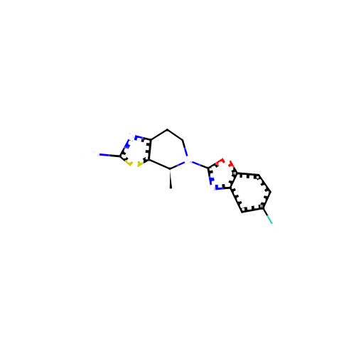 C[C@H]1c2sc(N)nc2CCN1c1nc2cc(F)ccc2o1